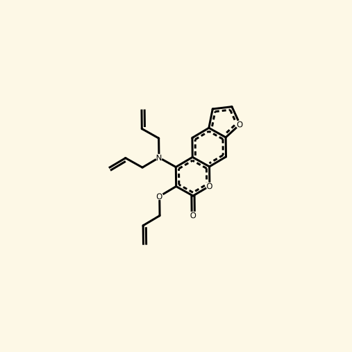 C=CCOc1c(N(CC=C)CC=C)c2cc3ccoc3cc2oc1=O